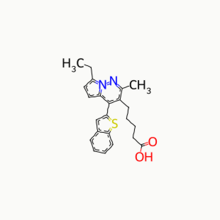 CCc1ccc2c(-c3cc4ccccc4s3)c(CCCCC(=O)O)c(C)nn12